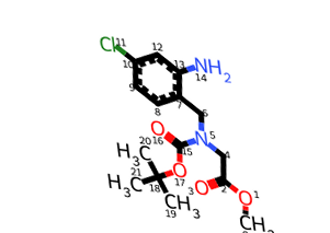 COC(=O)CN(Cc1ccc(Cl)cc1N)C(=O)OC(C)(C)C